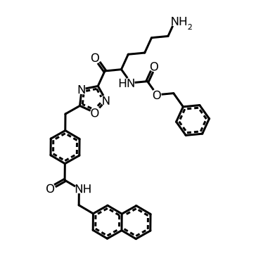 NCCCCC(NC(=O)OCc1ccccc1)C(=O)c1noc(Cc2ccc(C(=O)NCc3ccc4ccccc4c3)cc2)n1